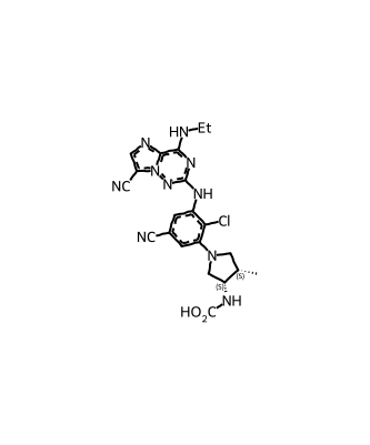 CCNc1nc(Nc2cc(C#N)cc(N3C[C@H](C)[C@H](NC(=O)O)C3)c2Cl)nn2c(C#N)cnc12